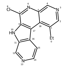 CCc1cncc2nc(Cl)c3[nH]c4cnccc4c3c12